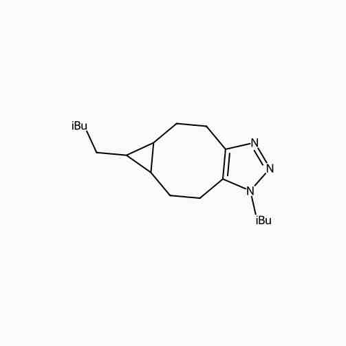 CCC(C)CC1C2CCc3nnn(C(C)CC)c3CCC21